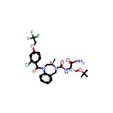 C[C@@H]1CN(C(=O)c2ccc(OCC(F)(F)F)cc2Cl)c2ccccc2CN1C(=O)N[C@@H](COC(C)(C)C)C(N)=O